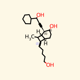 CC1/C(=C/CCCCO)[C@H]2CC[C@@H](O)[C@H](C#CC(O)C3CCCCC3)[C@@H]12